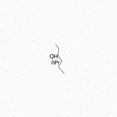 CCCCCC.CCCO